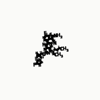 CCCCN(CC)c1nc(OCC2(CN3CC[C@@H](F)C3)CC2)nc2c(F)c(C3=CC=C(F)C4SC(N)=C(C#N)C34)ncc12